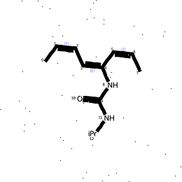 C\C=C/C=C(\C=C/C)NC(=O)NC(C)C